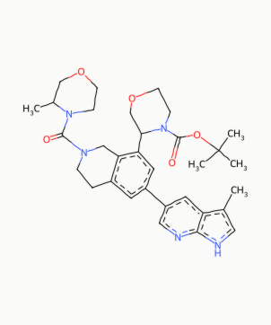 Cc1c[nH]c2ncc(-c3cc4c(c(C5COCCN5C(=O)OC(C)(C)C)c3)CN(C(=O)N3CCOCC3C)CC4)cc12